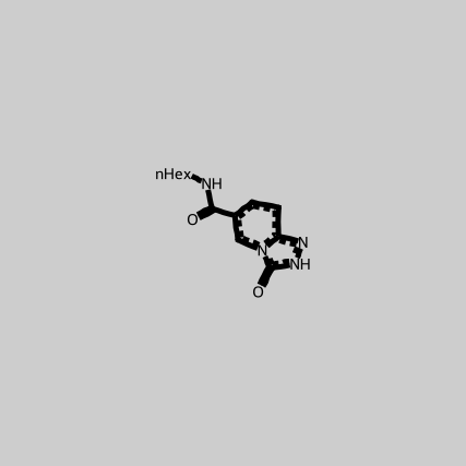 CCCCCCNC(=O)c1ccc2n[nH]c(=O)n2c1